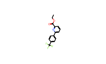 CCOC(=O)c1cccc(-c2ccc(C(F)(F)F)cc2)n1